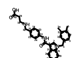 Cc1ccc(Cn2cc(C(=O)Nc3ccc(CNCCC(=O)O)cc3)c3cc(F)ccc32)cc1C